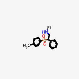 CCNCC(c1ccccc1)S(=O)(=O)c1ccc(C)cc1